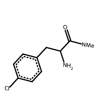 CNC(=O)C(N)Cc1ccc(Cl)cc1